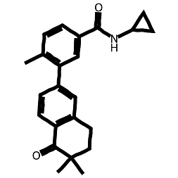 Cc1ccc(C(=O)NC2CC2)cc1-c1ccc2c(c1)CCC(C)(C)C2=O